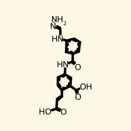 NN=CNc1cccc(C(=O)Nc2ccc(C=CC(=O)O)c(C(=O)O)c2)c1